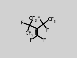 FC(F)=C(C(F)(F)C(F)(F)F)C(F)(C(F)(F)F)C(F)(F)F